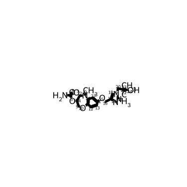 CN1C(=O)[C@@H](OC(N)=O)COc2ccc(OCc3cn(CC(C)(C)O)nn3)cc21